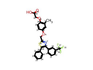 Cc1cc(OCc2nc(-c3cccc(C(F)(F)F)c3)c(-c3ccccc3)s2)ccc1OCC(=O)O